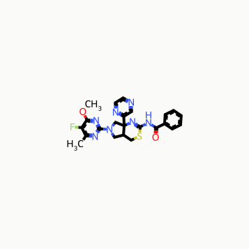 COc1nc(N2CC3CSC(NC(=O)c4ccccc4)=NC3(c3cnccn3)C2)nc(C)c1F